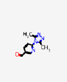 Cc1nnc(C)n1-c1ccc(C=O)cn1